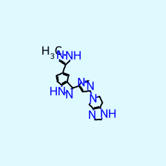 CN1C=C(c2ccc3[nH]nc(-c4cc(N5CCC6=C(C5)N=CCN6)ncn4)c3c2)CN1